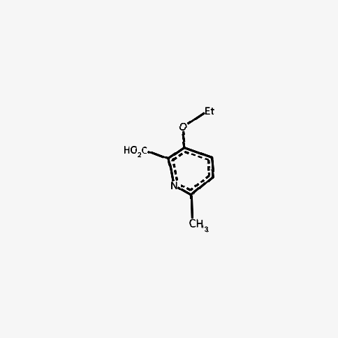 CCOc1ccc(C)nc1C(=O)O